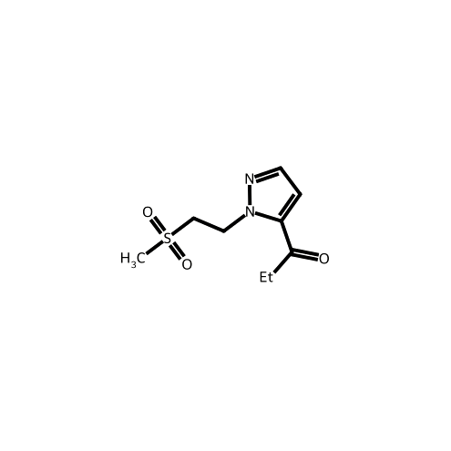 CCC(=O)c1ccnn1CCS(C)(=O)=O